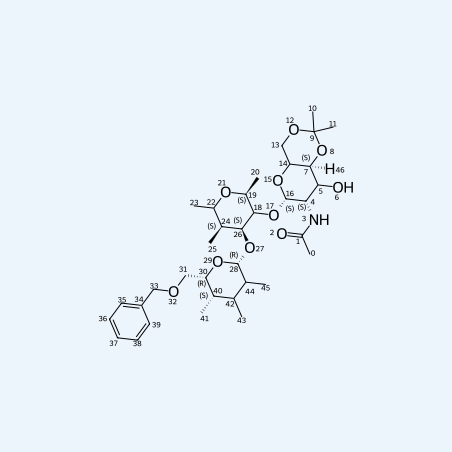 CC(=O)N[C@H]1C(O)[C@@H]2OC(C)(C)OCC2O[C@H]1OC1[C@H](C)OC(C)[C@H](C)[C@@H]1O[C@H]1O[C@@H](COCc2ccccc2)[C@@H](C)C(C)C1C